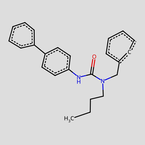 CCCCN(Cc1ccccc1)C(=O)Nc1ccc(-c2ccccc2)cc1